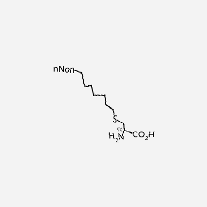 CCCCCCCCCCCCCCCCSC[C@H](N)C(=O)O